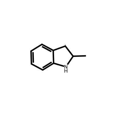 CC1[CH]c2ccccc2N1